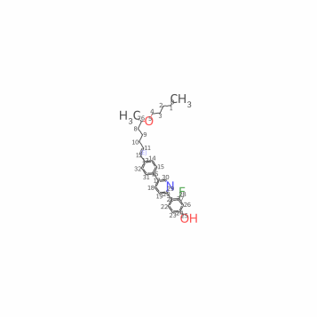 CCCCCOC(C)CCC/C=C/c1ccc(-c2ccc(-c3ccc(O)cc3F)nc2)cc1